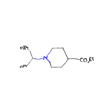 CCCC(CCC)N1CCC(C(=O)OCC)CC1